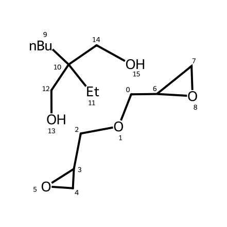 C(OCC1CO1)C1CO1.CCCCC(CC)(CO)CO